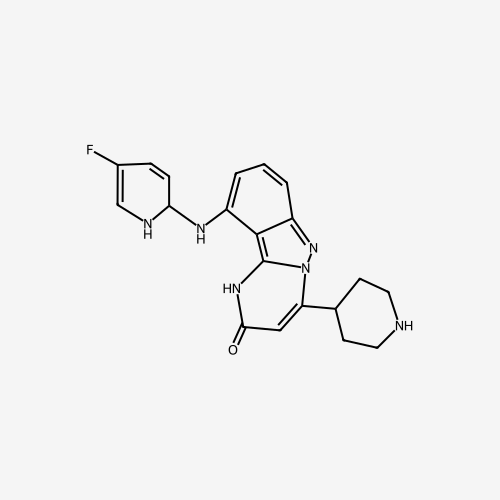 O=c1cc(C2CCNCC2)n2nc3cccc(NC4C=CC(F)=CN4)c3c2[nH]1